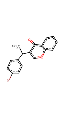 O=C(O)C(c1ccc(Br)cc1)c1coc2ccccc2c1=O